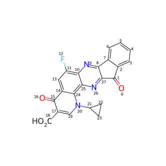 O=C1c2ccccc2-c2nc3c(F)cc4c(=O)c(C(=O)O)cn(C5CC5)c4c3nc21